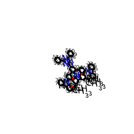 CC(C)(C)c1ccc2c(c1)c1cc(C(C)(C)C)ccc1n2-c1c(-c2ccc(-n3c4ccccc4c4ccccc43)cc2)cc(-c2nc(-c3ccccc3)nc(-c3ccccc3)n2)cc1-c1ccc(-n2c3ccccc3c3ccccc32)cc1